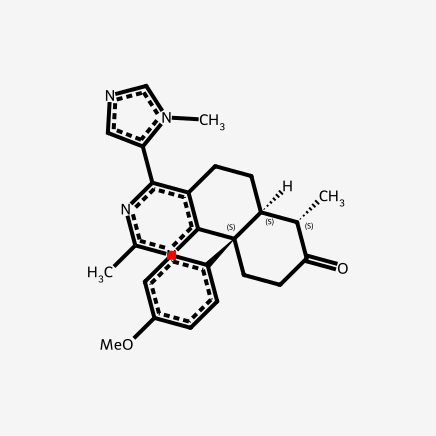 COc1ccc([C@]23CCC(=O)[C@@H](C)[C@@H]2CCc2c(-c4cncn4C)nc(C)nc23)cc1